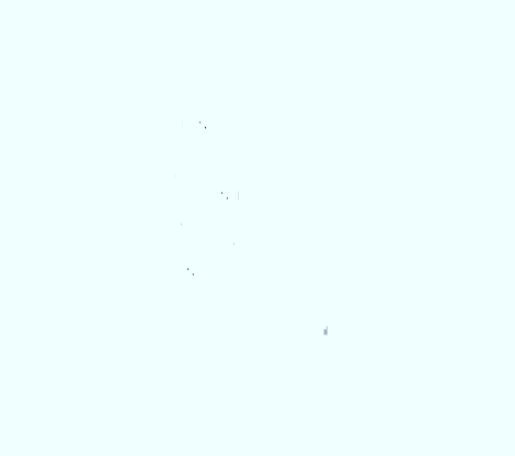 CC(C)CCOc1cccnc1OC(=O)NC(=O)CN